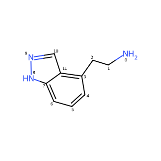 NCCc1cccc2[nH]ncc12